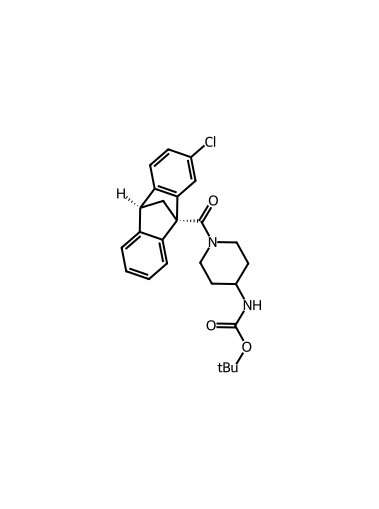 CC(C)(C)OC(=O)NC1CCN(C(=O)[C@@]23C[C@@H](c4ccccc42)c2ccc(Cl)cc23)CC1